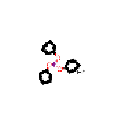 [H+].c1ccc(OP(Oc2ccccc2)Oc2ccccc2)cc1